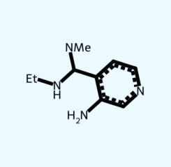 CCNC(NC)c1ccncc1N